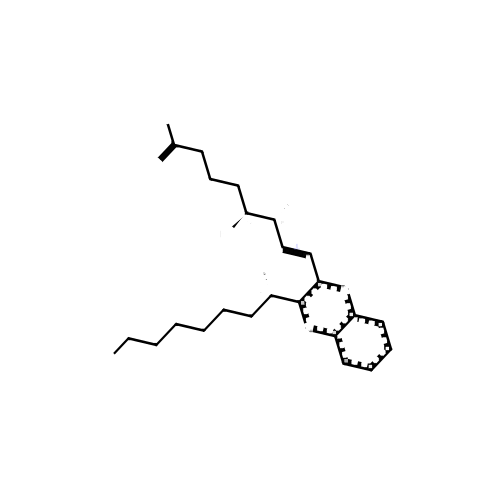 CCCCCCC[C@H](O)c1nc2ccccc2nc1/C=C/[C@@H](O)[C@@H](O)CCCC(=O)O